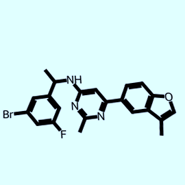 Cc1nc(NC(C)c2cc(F)cc(Br)c2)cc(-c2ccc3occ(C)c3c2)n1